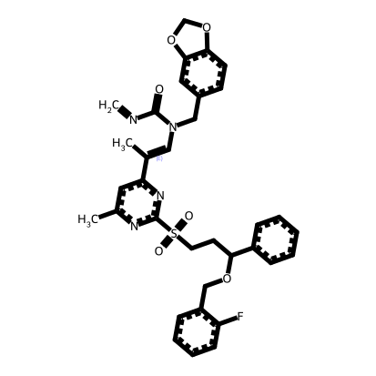 C=NC(=O)N(/C=C(\C)c1cc(C)nc(S(=O)(=O)CCC(OCc2ccccc2F)c2ccccc2)n1)Cc1ccc2c(c1)OCO2